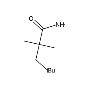 CCC(C)CC(C)(C)C([NH])=O